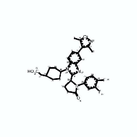 Cc1noc(C)c1-c1ccc2c(c1)nc(C1CCC(=O)N1c1ccc(F)c(F)c1)n2C1CCC(CC(=O)O)CC1